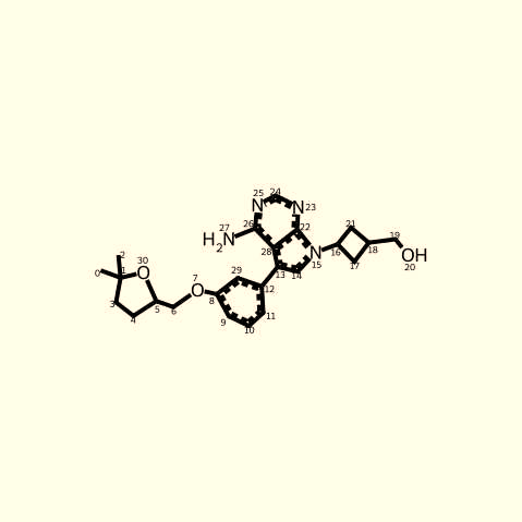 CC1(C)CCC(COc2cccc(-c3cn(C4CC(CO)C4)c4ncnc(N)c34)c2)O1